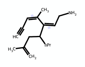 C#C/C=C(C)\C(=C/CN)C(CCC)CC(=C)C